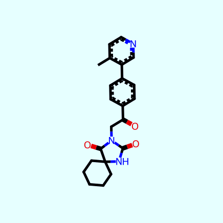 Cc1ccncc1-c1ccc(C(=O)CN2C(=O)NC3(CCCCC3)C2=O)cc1